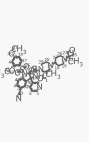 CCOc1ncccc1C1(NC(=O)N2CCN(C3CCN(C4(C)COC4)CC3)CC2)C(=O)N(S(=O)(=O)c2ccc(OC)cc2OC)c2ccc(C#N)cc21